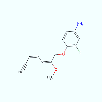 C#C/C=C\C=C(/COc1ccc(N)cc1F)OC